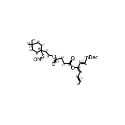 C/C=C/C=C(/C=C/CCCCCCCCCC)OC(=O)CCC(=O)OCCC1(SN=O)CCC(C)(C)CC1